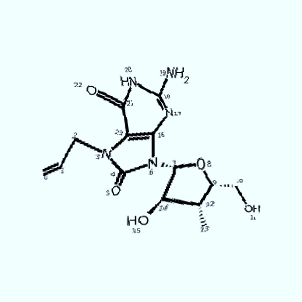 C=CCn1c(=O)n([C@@H]2O[C@H](CO)[C@H](C)[C@H]2O)c2nc(N)[nH]c(=O)c21